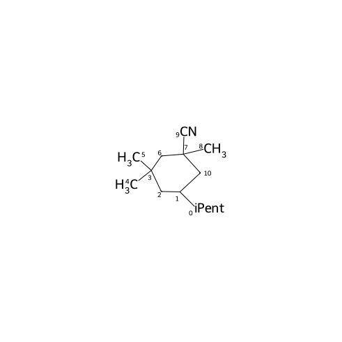 CCCC(C)C1CC(C)(C)CC(C)(C#N)C1